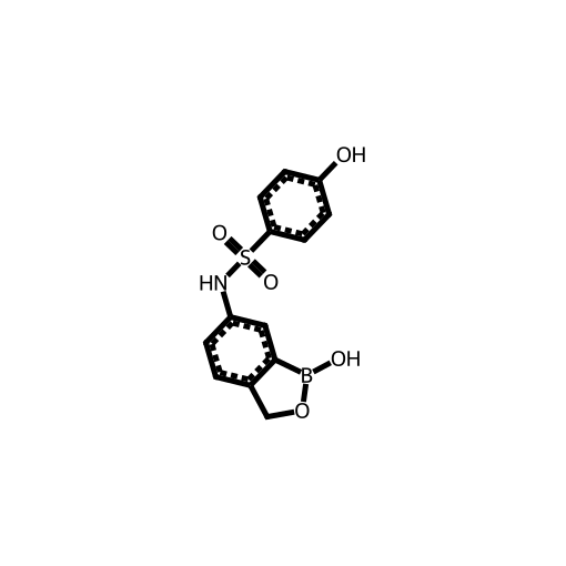 O=S(=O)(Nc1ccc2c(c1)B(O)OC2)c1ccc(O)cc1